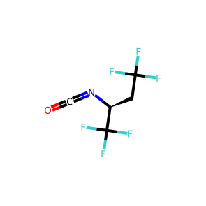 O=C=N[C@@H](CC(F)(F)F)C(F)(F)F